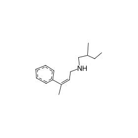 CCC(C)CNC/C=C(/C)c1ccccc1